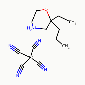 CCCC1(CC)C[NH2+]CCO1.N#C[B-](C#N)(C#N)C#N